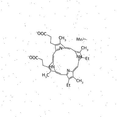 CCC1=C(C)c2cc3[nH]c(cc4nc(cc5[nH]c(cc1n2)c(C)c5CCC(=O)[O-])C(CCC(=O)[O-])=C4C)c(C)c3CC.[Mn+2]